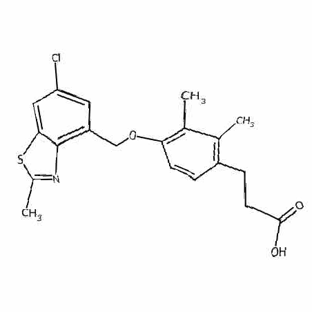 Cc1nc2c(COc3ccc(CCC(=O)O)c(C)c3C)cc(Cl)cc2s1